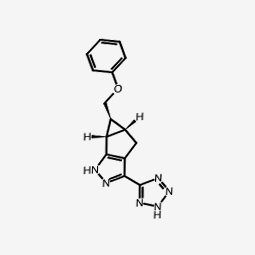 c1ccc(OC[C@H]2[C@@H]3Cc4c(-c5nn[nH]n5)n[nH]c4[C@H]23)cc1